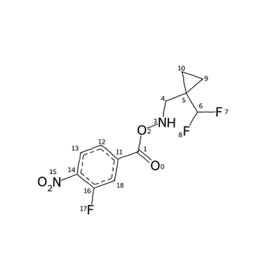 O=C(ONCC1(C(F)F)CC1)c1ccc([N+](=O)[O-])c(F)c1